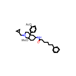 COC12CCC(NC(=O)CCCCCc3ccccc3)CC1(c1cccc(OC(C)=O)c1)CCN(CC1CC1)C2